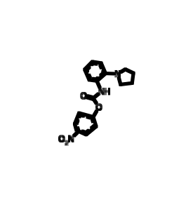 O=C(Nc1ccccc1N1CCCC1)Oc1ccc([N+](=O)[O-])cc1